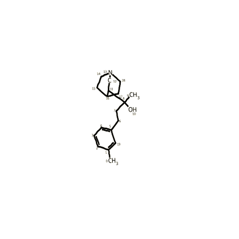 Cc1cccc(CCC(C)(O)C2CN3CCC2CC3)c1